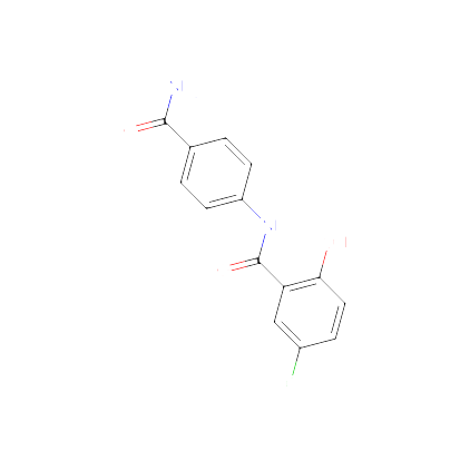 NC(=O)c1ccc(NC(=O)c2cc(Cl)ccc2O)cc1